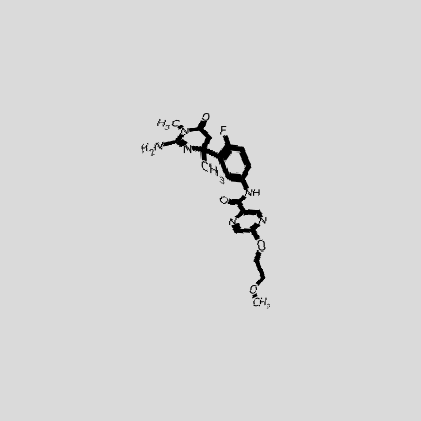 COCCOc1cnc(C(=O)Nc2ccc(F)c(C3(C)CC(=O)N(C)C(N)=N3)c2)cn1